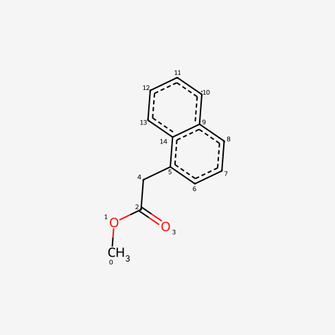 COC(=O)Cc1cccc2[c]cccc12